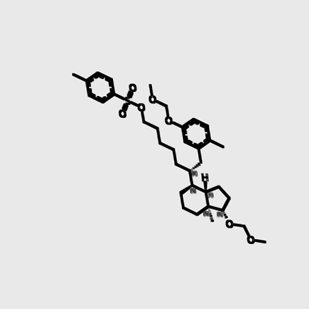 COCOc1ccc(C)c(C[C@@H](CCCCCOS(=O)(=O)c2ccc(C)cc2)[C@@H]2CCC[C@]3(C)[C@@H](OCOC)CC[C@@H]23)c1